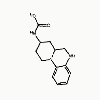 O=C(O)NC1CCN2c3ccccc3NCC2C1